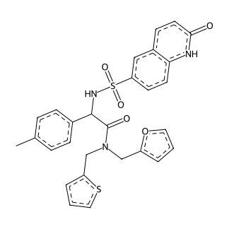 Cc1ccc(C(NS(=O)(=O)c2ccc3[nH]c(=O)ccc3c2)C(=O)N(Cc2ccco2)Cc2cccs2)cc1